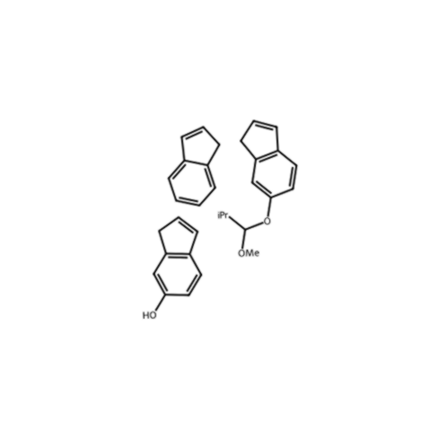 C1=Cc2ccccc2C1.COC(Oc1ccc2c(c1)CC=C2)C(C)C.Oc1ccc2c(c1)CC=C2